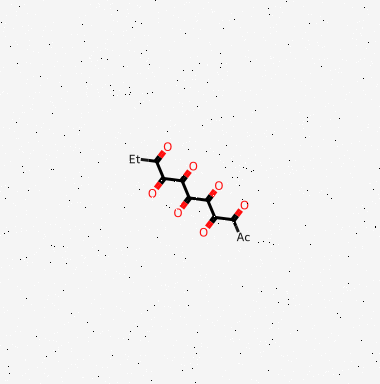 CCC(=O)C(=O)C(=O)C(=O)C(=O)C(=O)C(=O)C(C)=O